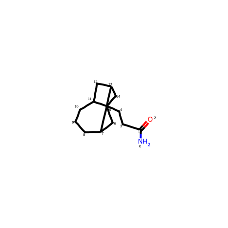 NC(=O)CCC12CC3CCCC1CC3C2